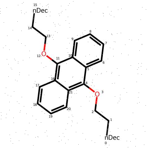 CCCCCCCCCCCCOc1c2ccccc2c(OCCCCCCCCCCCC)c2ccccc12